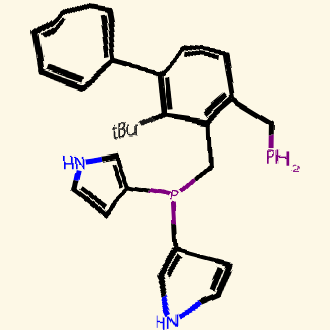 CC(C)(C)c1c(-c2ccccc2)ccc(CP)c1CP(c1cc[nH]c1)c1cc[nH]c1